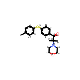 Cc1ccc(Sc2ccc(C(=O)C(C)(C)N3CCOCC3)cc2)cc1